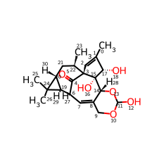 CC1=C[C@]23C(=O)[C@@H](C=C4COC(O)O[C@H]4[C@]2(O)[C@H]1O)[C@@H]1[C@@H](C[C@H]3C)C1(C)C